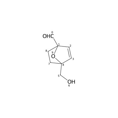 O=CC12C=CC(CO)(CC1)O2